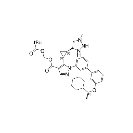 C[C@H](Oc1cccc(-c2cccc(-n3ncc(C(=O)OCOC(=O)C(C)(C)C)c3[C@@H]3C[C@H]3C3=CN(C)NN3)c2)c1)C1CCCCC1